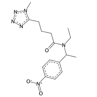 CCN(C(=O)CCCc1nnnn1C)C(C)c1ccc([N+](=O)[O-])cc1